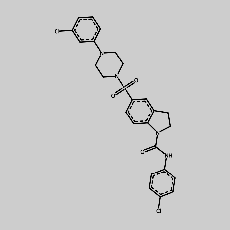 O=C(Nc1ccc(Cl)cc1)N1CCc2cc(S(=O)(=O)N3CCN(c4cccc(Cl)c4)CC3)ccc21